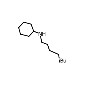 CCC(C)CCCCNC1CCCCC1